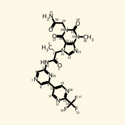 C[C@@H](C(=O)Nc1cncc(-c2cnc(C(F)(F)F)nc2)n1)n1cnc2c1c(=O)n(CC(N)=O)c(=O)n2C